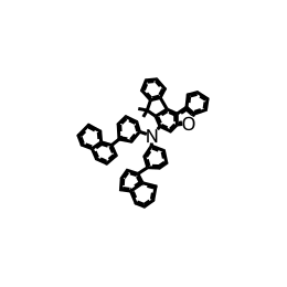 CC1(C)c2ccccc2-c2c1c(N(c1cccc(-c3cccc4ccccc34)c1)c1cccc(-c3cccc4ccccc34)c1)cc1oc3ccccc3c21